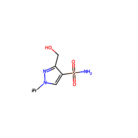 CC(C)n1cc(S(N)(=O)=O)c(CO)n1